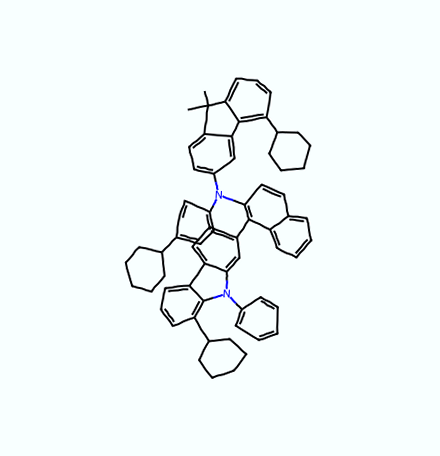 CC1(C)c2ccc(N(c3ccc(C4CCCCC4)cc3)c3ccc4ccccc4c3-c3ccc4c5cccc(C6CCCCC6)c5n(-c5ccccc5)c4c3)cc2-c2c(C3CCCCC3)cccc21